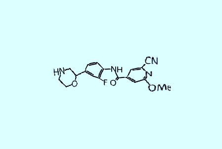 COc1cc(C(=O)Nc2ccc(C3CNCCO3)cc2F)cc(C#N)n1